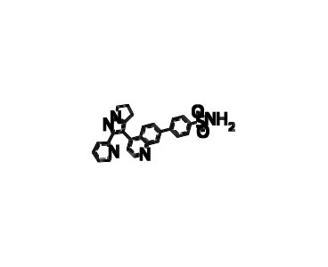 NS(=O)(=O)c1ccc(-c2ccc3c(-c4c(-c5ccccn5)nn5c4CCC5)ccnc3c2)cc1